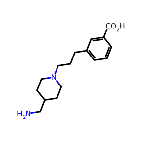 NCC1CCN(CCCc2cccc(C(=O)O)c2)CC1